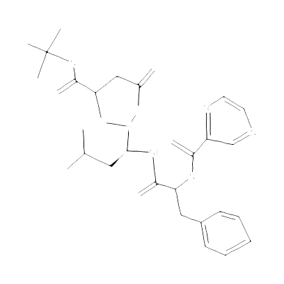 CC(C)C[C@H](NC(=O)C(Cc1ccccc1)NC(=O)c1cnccn1)B1OC(=O)CC(C(=O)NC(C)(C)C)O1